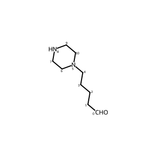 O=CCCCCN1CCNCC1